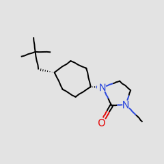 CN1CCN([C@H]2CC[C@@H](CC(C)(C)C)CC2)C1=O